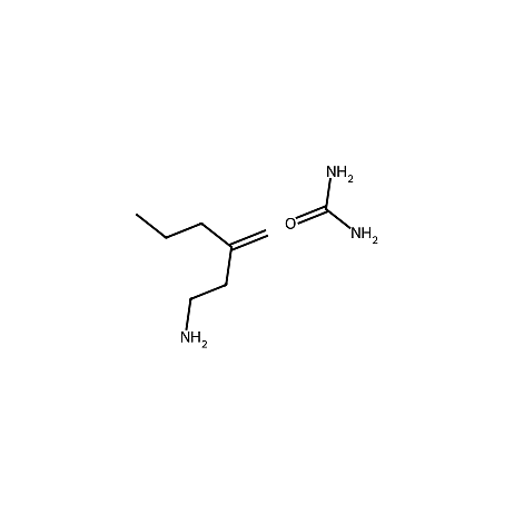 C=C(CCC)CCN.NC(N)=O